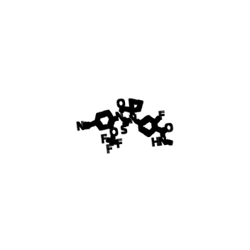 CNC(=O)c1ccc(N2C(=S)N(c3ccc(C#N)cc3OC(F)(F)F)C(=O)C23CCC3)cc1F